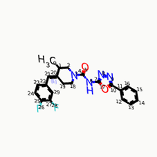 CC1CN(C(=O)Nc2nnc(-c3ccccc3)o2)CC/C1=C\c1ccc(F)c(F)c1